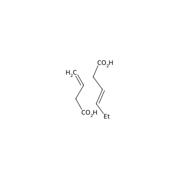 C=CCC(=O)O.CCC=CCC(=O)O